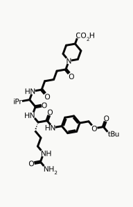 CC(C)C(NC(=O)CCCC(=O)N1CCC(C(=O)O)CC1)C(=O)N[C@@H](CCCNC(N)=O)C(=O)Nc1ccc(COC(=O)C(C)(C)C)cc1